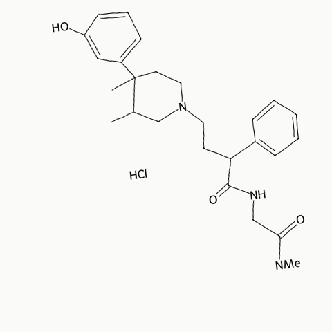 CNC(=O)CNC(=O)C(CCN1CCC(C)(c2cccc(O)c2)C(C)C1)c1ccccc1.Cl